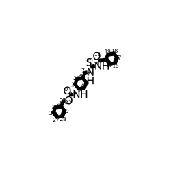 O=C(NC1CCC(CNC(=S)NC(=O)c2ccccc2)CC1)OCc1ccccc1